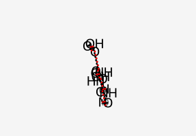 CC(=O)[C@H](CCCCNC(=O)[C@H](CCCCNC(=O)CC[C@H](NC(=O)CCCCCCCCCCOc1ccc(C(=O)O)cc1)C(=O)O)N(C)C)N(C)C